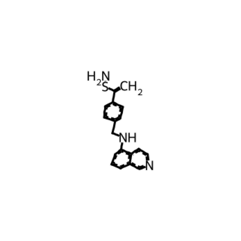 C=C(SN)c1ccc(CNc2cccc3cnccc23)cc1